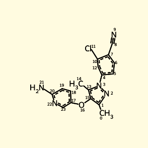 Cc1nn(-c2ccc(C#N)c(Cl)c2)c(C)c1Oc1ccc(N)nc1